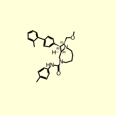 COC[C@@H]1[C@H](c2ccc(-c3ccccc3C)cc2)[C@@H]2CN(C(=O)Nc3ccc(C)cc3)CCCCN12